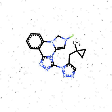 CC1(Cc2cnnn2-c2nnc3n2C2=CN(F)CN2c2ccccc2-3)CC1